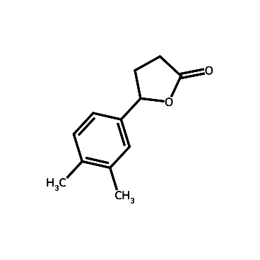 Cc1ccc(C2CCC(=O)O2)cc1C